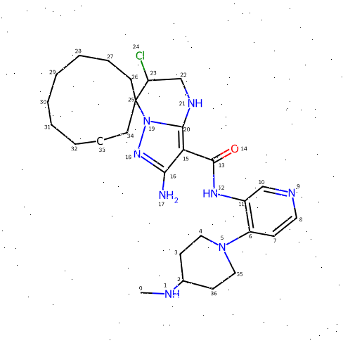 CNC1CCN(c2ccncc2NC(=O)c2c(N)nn3c2NCC(Cl)C32CCCCCCCCC2)CC1